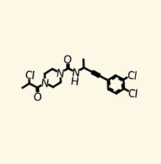 CC(C#Cc1ccc(Cl)c(Cl)c1)NC(=O)N1CCN(C(=O)C(C)Cl)CC1